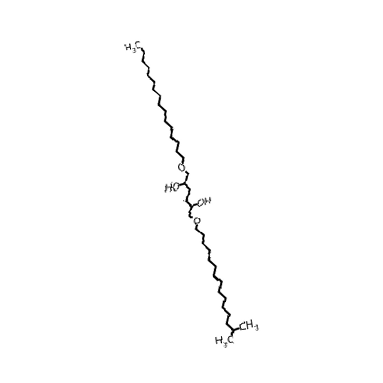 CCCCCCCCCCCCCCCCOCC(O)C[CH]C(O)COCCCCCCCCCCCCCC(C)C